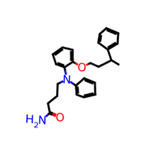 CC(CCOc1ccccc1N(CCCC(N)=O)c1ccccc1)c1ccccc1